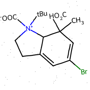 CC1(C(=O)O)C=C(Br)C=C2CC[N+](C(=O)[O-])(C(C)(C)C)C21